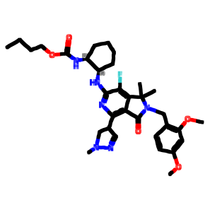 CCCCOC(=O)N[C@H]1CCCC[C@H]1Nc1nc(C2C=NN(C)C2)c2c(c1F)C(C)(C)N(Cc1ccc(OC)cc1OC)C2=O